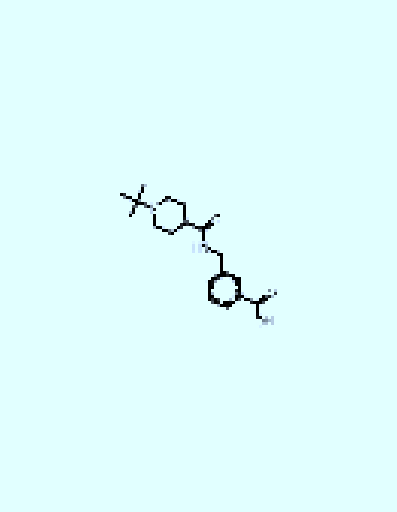 CC(C)(C)N1CCC(C(=O)NCc2cccc(C(=O)O)c2)CC1